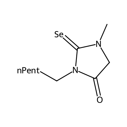 CCCCCCN1C(=O)CN(C)C1=[Se]